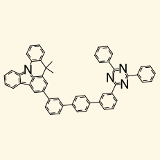 CC1(C)c2ccccc2-n2c3ccccc3c3cc(-c4cccc(-c5ccc(-c6cccc(-c7nc(-c8ccccc8)nc(-c8ccccc8)n7)c6)cc5)c4)cc1c32